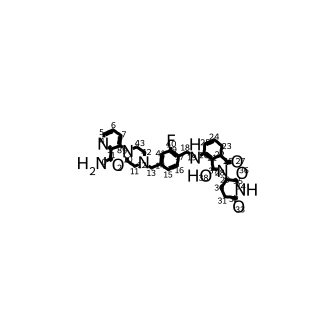 NC(=O)c1ncccc1N1CCN(Cc2ccc(CNC3=C4C(CC=C3)C(=O)N(C3CCC(=O)NC3=O)C4O)c(F)c2)CC1